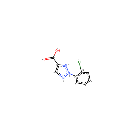 O=C(O)c1cnn(-c2ccccc2Cl)n1